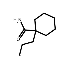 [CH2]CCC1(C(N)=O)CCCCC1